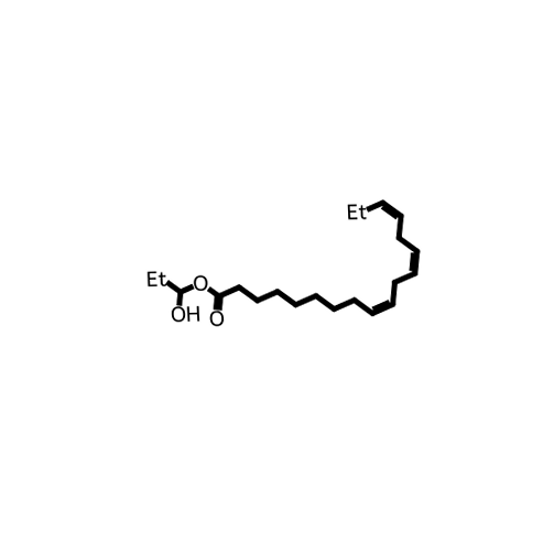 CC/C=C\C/C=C\C/C=C\CCCCCCCC(=O)OC(O)CC